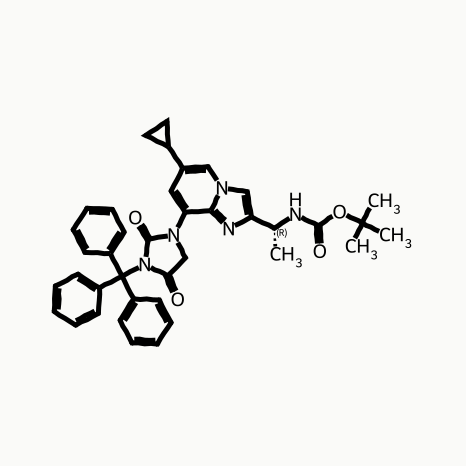 C[C@@H](NC(=O)OC(C)(C)C)c1cn2cc(C3CC3)cc(N3CC(=O)N(C(c4ccccc4)(c4ccccc4)c4ccccc4)C3=O)c2n1